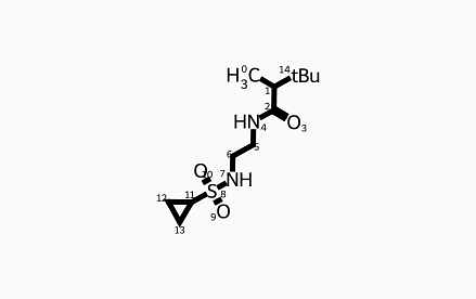 CC(C(=O)NCCNS(=O)(=O)C1CC1)C(C)(C)C